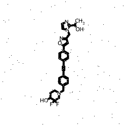 CC(O)c1nccn1Cc1cc(-c2ccc(C#Cc3ccc(CN4CCC(O)C(F)(F)C4)cc3)cc2)on1